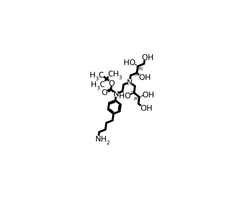 CC(C)(C)OC(=O)N(CCN(C[C@H](O)[C@H](O)CO)C[C@H](O)[C@H](O)CO)c1ccc(CCCCN)cc1